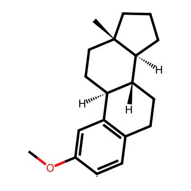 COc1[c]cc2c(c1)[C@H]1CC[C@]3(C)CCC[C@H]3[C@@H]1CC2